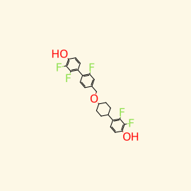 Oc1ccc(-c2ccc(COC3CCC(c4ccc(O)c(F)c4F)CC3)cc2F)c(F)c1F